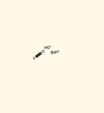 [BaH+].[OH-].[O]=[V]